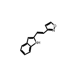 C(=Cc1cc2ccccc2[nH]1)c1ccon1